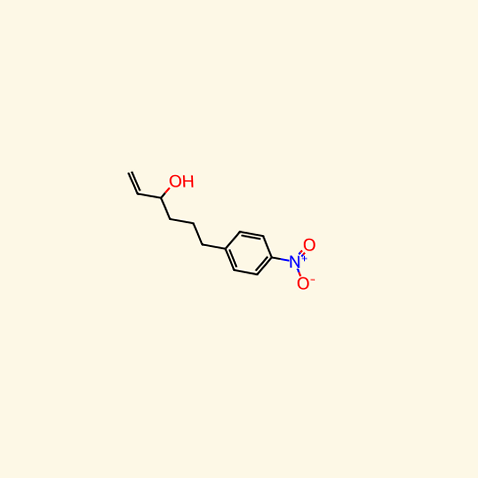 C=CC(O)CCCc1ccc([N+](=O)[O-])cc1